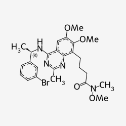 COc1cc2c(N[C@H](C)c3cccc(Br)c3)nc(C)nc2c(CCCC(=O)N(C)OC)c1OC